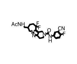 CC(=O)NCC1CCC(F)(F)c2c3c(nn2C1)CCN(C(=O)Nc1ccc(F)c(C#N)c1)C3